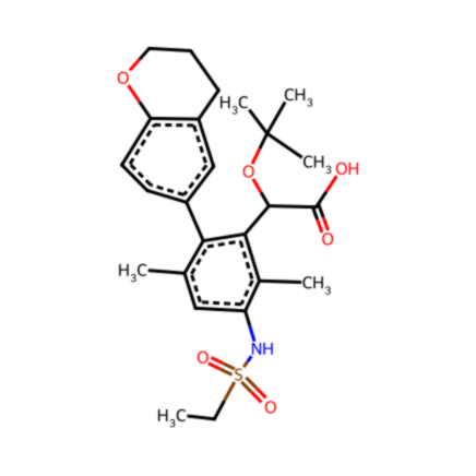 CCS(=O)(=O)Nc1cc(C)c(-c2ccc3c(c2)CCCO3)c(C(OC(C)(C)C)C(=O)O)c1C